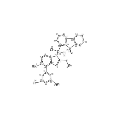 CC(C)CC1=Cc2c(ccc(C(C)(C)C)c2-c2cc(C(C)C)cc(C(C)C)c2)[CH]1[Zr]([Cl])([Cl])[c]1cccc2c1[SiH2]c1ccccc1-2